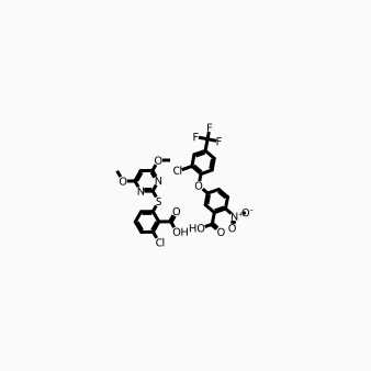 COc1cc(OC)nc(Sc2cccc(Cl)c2C(=O)O)n1.O=C(O)c1cc(Oc2ccc(C(F)(F)F)cc2Cl)ccc1[N+](=O)[O-]